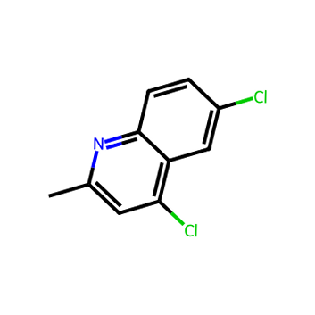 Cc1cc(Cl)c2cc(Cl)ccc2n1